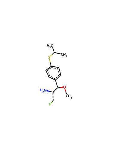 CO[C@H](c1ccc(SC(C)C)cc1)[C@H](N)CF